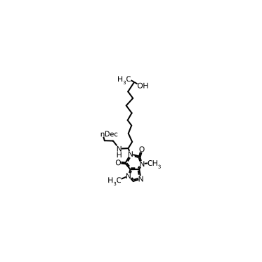 CCCCCCCCCCCCNC(CCCCCCCCC(C)O)n1c(=O)c2c(ncn2C)n(C)c1=O